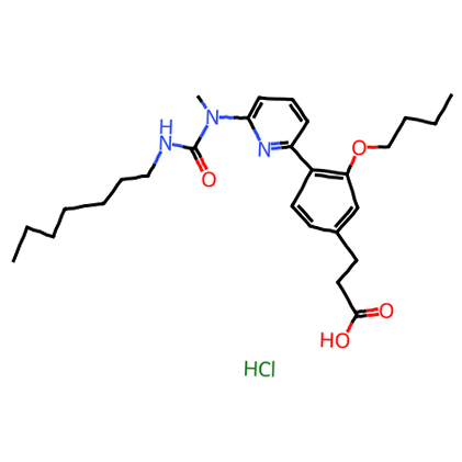 CCCCCCCNC(=O)N(C)c1cccc(-c2ccc(CCC(=O)O)cc2OCCCC)n1.Cl